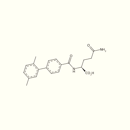 Cc1ccc(C)c(-c2ccc(C(=O)N[C@@H](CCC(N)=O)C(=O)O)cc2)c1